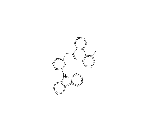 C=C(Cc1cccc(-n2c3ccccc3c3ccccc32)c1)c1ccccc1-c1ccccc1C